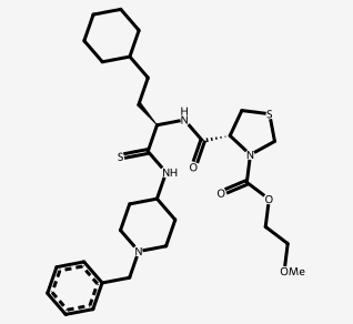 COCCOC(=O)N1CSC[C@H]1C(=O)N[C@H](CCC1CCCCC1)C(=S)NC1CCN(Cc2ccccc2)CC1